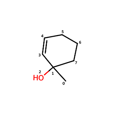 CC1(O)C=CCCC1